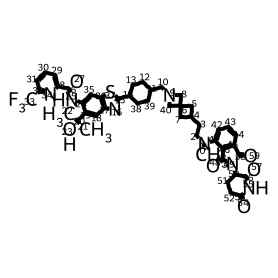 CN(CCC1CC2(C1)CN(CC1CCC(c3nc4cc(C(C)(C)O)c(NC(=O)c5cccc(C(F)(F)F)n5)cc4s3)CC1)C2)c1cccc2c1C(=O)N(C1CCC(=O)NC1=O)C2=O